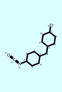 CCC1CCC(CC2CCC(N=C=O)CC2)CC1